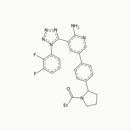 CCC(=O)N1CCCC1c1ccc(-c2cnc(N)c(-c3nnnn3-c3cccc(F)c3F)c2)cc1